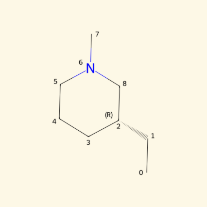 CC[C@@H]1CCCN(C)C1